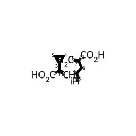 C=C(C(=O)O)C1CC1.C=C(CCC(C)C)C(=O)O